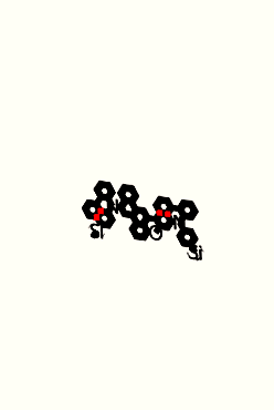 C[Si](C)(C)c1ccc(N(c2ccc3c(c2)Oc2cccc4c2c-3cc2c3ccccc3c(N(c3ccc([Si](C)(C)C)cc3)c3ccccc3-c3ccccc3)cc42)c2ccccc2-c2ccccc2)cc1